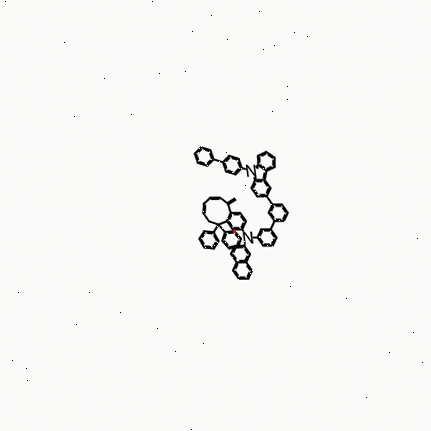 C=C1/C=C\C=C/CC(c2ccccc2)(c2ccccc2)c2cc(N(c3cccc(-c4cccc(-c5ccc6c(c5)c5ccccc5n6-c5ccc(-c6ccccc6)cc5)c4)c3)c3ccc4ccccc4c3)ccc21